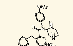 COc1ccc(N(C(=O)c2ccccc2Cc2ccccc2)C2CNCCN2)cc1.Cl.Cl